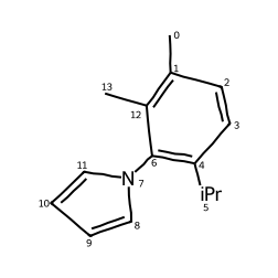 Cc1ccc(C(C)C)c(-n2cccc2)c1C